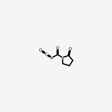 O=C=NC(=O)N1CCCC1=O